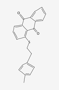 Cc1ccc(CCSc2cccc3c2C(=O)c2ccccc2C3=O)cc1